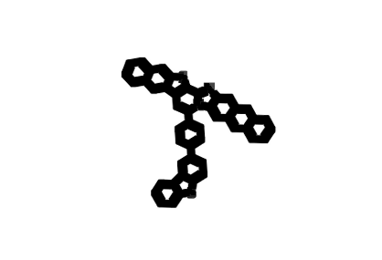 c1ccc2cc3cc4c(cc3cc2c1)nc1c2sc3cc5ccccc5cc3c2cc(-c2ccc(-c3ccc5sc6ccccc6c5c3)cc2)n41